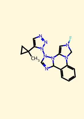 CC1(c2cnnn2N2C=NC3c4ccccc4N4CN(F)C=C4N32)CC1